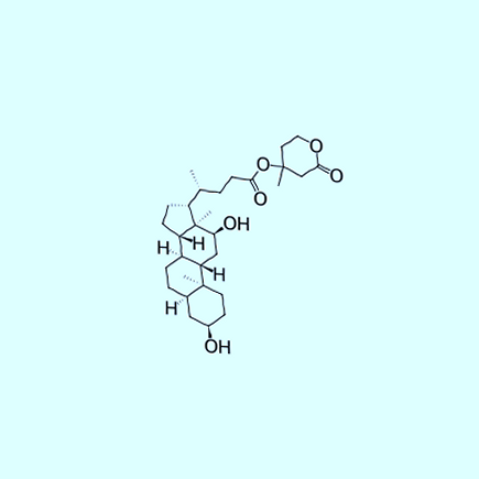 C[C@H](CCC(=O)OC1(C)CCOC(=O)C1)[C@H]1CC[C@H]2[C@@H]3CC[C@@H]4C[C@H](O)CC[C@]4(C)[C@H]3C[C@H](O)[C@]12C